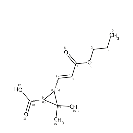 CCCOC(=O)C=C[C@H]1[C@@H](C(=O)O)C1(C)C